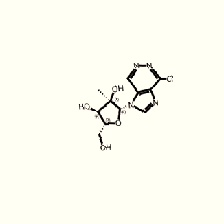 C[C@@]1(O)[C@H](O)[C@@H](CO)O[C@H]1n1cnc2c(Cl)nncc21